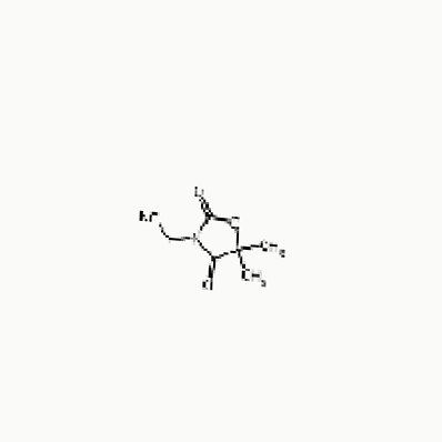 CC1(C)OC(=O)N(CC#N)C1=O